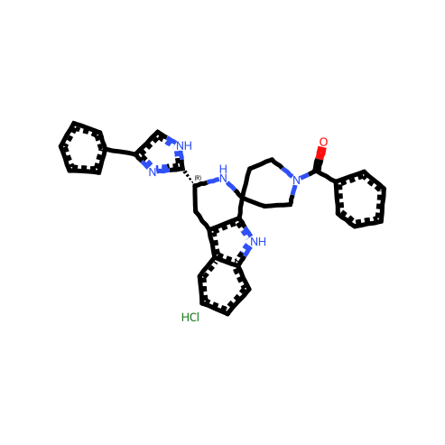 Cl.O=C(c1ccccc1)N1CCC2(CC1)N[C@@H](c1nc(-c3ccccc3)c[nH]1)Cc1c2[nH]c2ccccc12